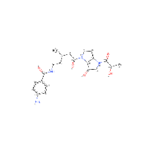 CC(CCNC(=O)c1ccc(N)cc1)CC(=O)N1CCC2C1C(=O)CN2C(=O)C(O)C(C)C